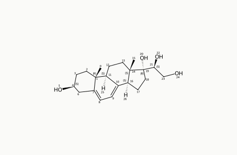 C[C@]12CC[C@H](O)CC1=CC=C1[C@@H]2CC[C@@]2(C)[C@H]1CC[C@]2(O)[C@@H](O)CO